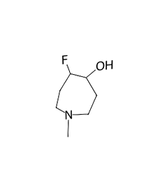 CN1CCC(O)C(F)CC1